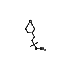 CC(C)(CCC1CCC2OC2C1)O[SiH3]